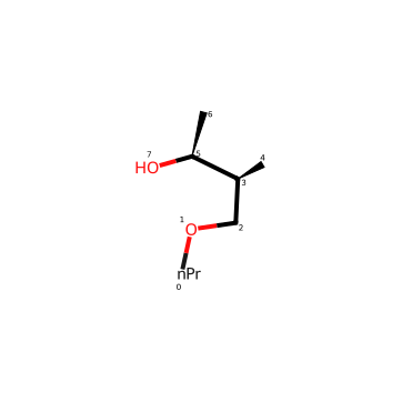 CCCOC[C@H](C)[C@H](C)O